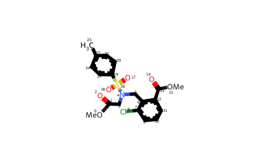 COC(=O)CN(Cc1c(Cl)cccc1C(=O)OC)S(=O)(=O)c1ccc(C)cc1